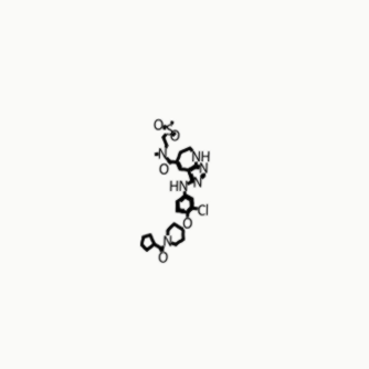 CN(CCS(C)(=O)=O)C(=O)C1=Cc2c(ncnc2Nc2ccc(OC3CCN(C(=O)C4CCCC4)CC3)c(Cl)c2)NCC1